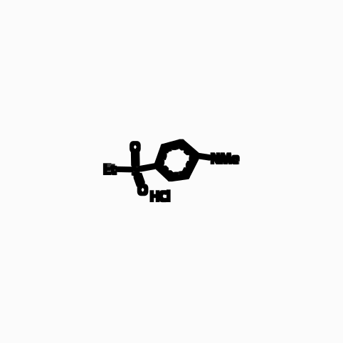 CCS(=O)(=O)c1ccc(NC)cc1.Cl